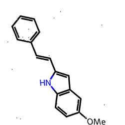 COc1ccc2[nH]c(/C=C/c3ccccc3)cc2c1